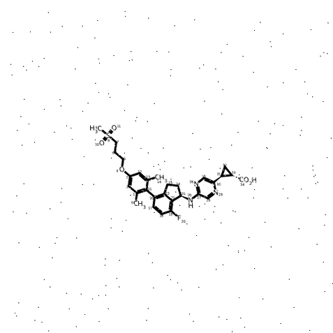 Cc1cc(OCCCS(C)(=O)=O)cc(C)c1-c1ccc(F)c2c1CC[C@H]2Nc1cnc([C@H]2C[C@@H]2C(=O)O)cn1